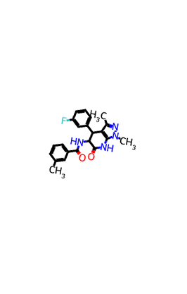 Cc1cccc(C(=O)NC2C(=O)Nc3c(c(C)nn3C)C2c2cccc(F)c2)c1